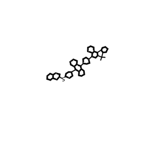 CC1(C)c2ccccc2-c2c1cc(-c1ccc(-c3c4ccccc4c(-c4ccc(Sc5ccc6ccccc6c5)cc4)c4ccccc34)cc1)c1ccccc21